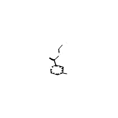 CCc1ccnc(C(=O)NCC#N)c1